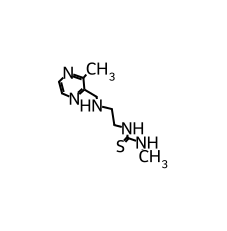 CNC(=S)NCCNCc1nccnc1C